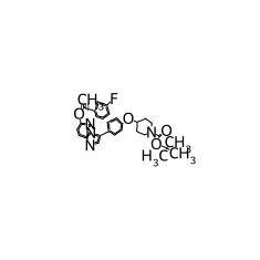 C[C@@H](Oc1ccc2ncc(-c3ccc(OC4CCN(C(=O)OC(C)(C)C)CC4)cc3)n2n1)c1cccc(F)c1